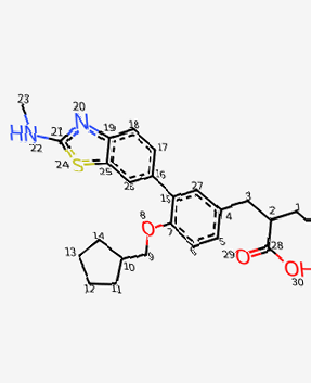 CCC(Cc1ccc(OCC2CCCC2)c(-c2ccc3nc(NC)sc3c2)c1)C(=O)O